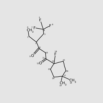 CCC(CC(F)(F)F)C(=O)CC(=O)C1(F)CCC(C)(C)CC1